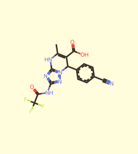 CC1=C(C(=O)O)C(c2ccc(C#N)cc2)n2nc(NC(=O)C(F)(F)F)nc2N1